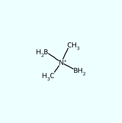 B[N+](B)(C)C